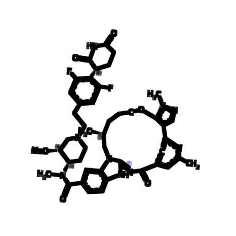 CO[C@@H]1CN(CCc2cc(F)c([C@H]3CCC(=O)NC3=O)c(F)c2)CC[C@@H]1N(C)C(=O)c1ccc2c(c1)N1C[C@H](C)CCCOc3c(cnn3C)-c3cc(cc(C)n3)C(=O)/N=C/1N2